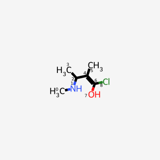 CNC(C)/C(C)=C(\O)Cl